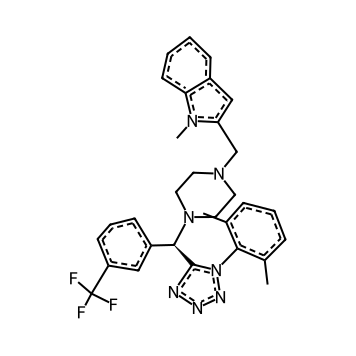 Cc1cccc(C)c1-n1nnnc1[C@@H](c1cccc(C(F)(F)F)c1)N1CCN(Cc2cc3ccccc3n2C)CC1